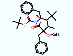 COC(=O)C(Cc1ccccc1)(O[SiH3])C(C)C(C(Cc1ccccc1)NC(=O)OC(C)(C)C)C(C)(C)C